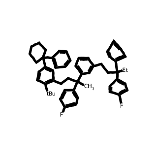 CCC(CCc1cccc(C(C)(CCc2cc(C3(c4ccccc4)CCCCC3)ccc2C(C)(C)C)c2ccc(F)cc2)c1)(c1ccccc1)c1ccc(F)cc1